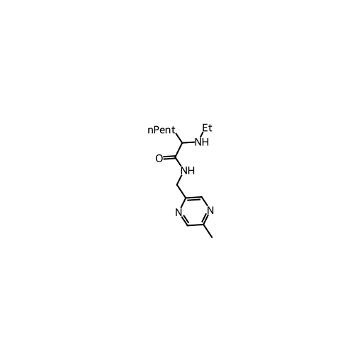 CCCCCC(NCC)C(=O)NCc1cnc(C)cn1